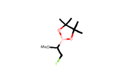 COC(CF)B1OC(C)(C)C(C)(C)O1